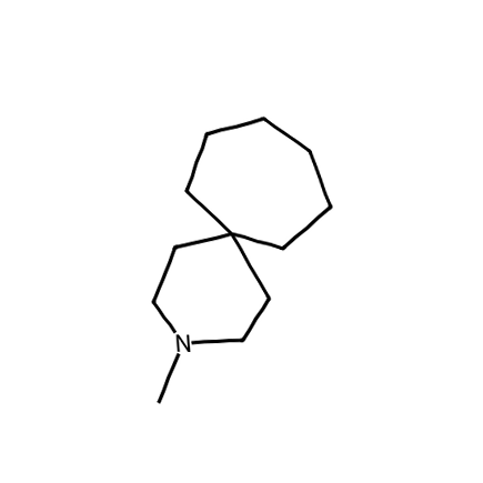 CN1CCC2(CCCCCC2)CC1